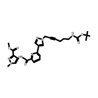 COC(=O)c1nn(C)cc1NC(=O)c1cccc(-c2cnn(CC#CCCCNC(=O)OC(C)(C)C)c2)n1